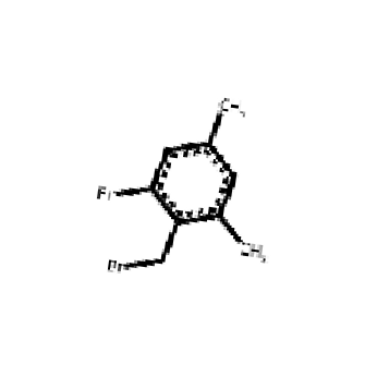 CCc1cc(C)cc(C)c1CBr